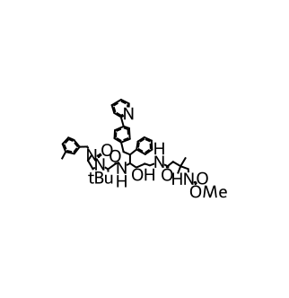 COC(=O)NCC(C)(C)CC(=O)NCCC(O)C(NC(=O)C(N1CCN(Cc2cccc(C)c2)C1=O)C(C)(C)C)C(Cc1ccc(-c2ccccn2)cc1)c1ccccc1